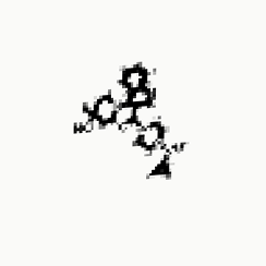 CC1(C#N)CCN(c2c(C(=O)N3CCN([S+]([O-])C4CC4)CC3)cnc3ccccc23)CC1